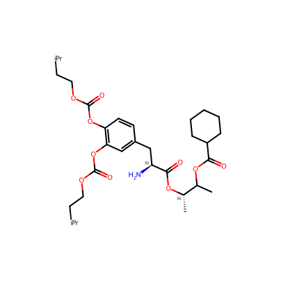 CC(C)CCOC(=O)Oc1ccc(C[C@H](N)C(=O)O[C@@H](C)C(C)OC(=O)C2CCCCC2)cc1OC(=O)OCCC(C)C